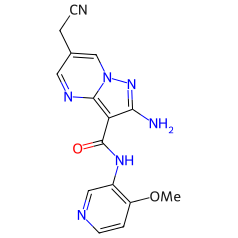 COc1ccncc1NC(=O)c1c(N)nn2cc(CC#N)cnc12